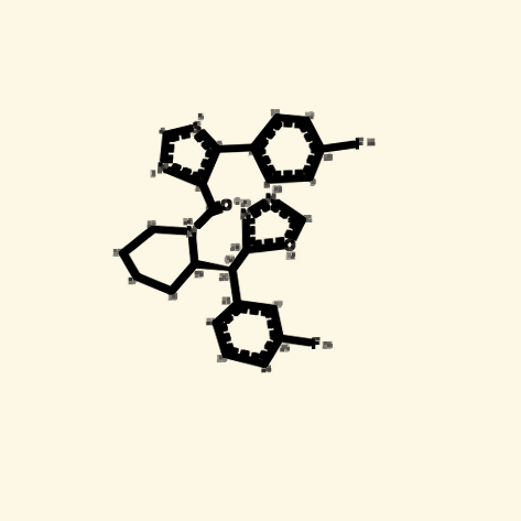 O=C(c1ncsc1-c1ccc(F)cc1)N1CCCCC1[C@H](c1cccc(F)c1)c1nnco1